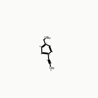 CC(C)(C)Cc1ccc(C#CO)cc1